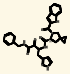 O=C(NCc1ccccc1)C(=O)C(Cc1cc[nH]n1)NC(=O)[C@@H]1CC2(CC2)CN1C(=O)c1cc2ccccc2[nH]1